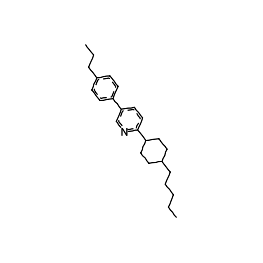 CCCCCC1CCC(c2ccc(-c3ccc(CCC)cc3)cn2)CC1